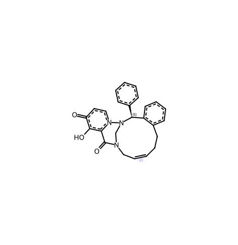 O=C1c2c(O)c(=O)ccn2N2CN1C/C=C\CCc1ccccc1[C@@H]2c1ccccc1